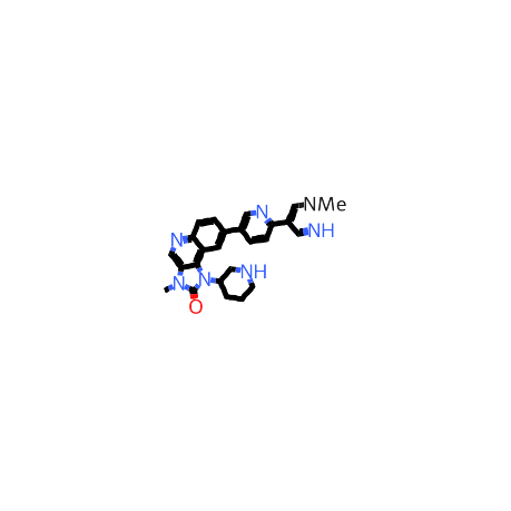 CN/C=C(\C=N)c1ccc(-c2ccc3ncc4c(c3c2)n(C2CCCNC2)c(=O)n4C)cn1